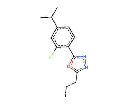 CCCc1nnc(-c2ccc(C(C)C)cc2F)o1